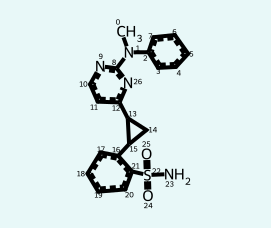 CN(c1ccccc1)c1nccc(C2CC2c2ccccc2S(N)(=O)=O)n1